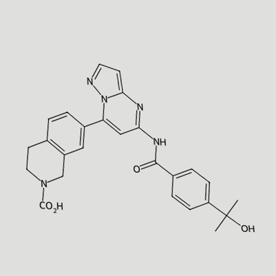 CC(C)(O)c1ccc(C(=O)Nc2cc(-c3ccc4c(c3)CN(C(=O)O)CC4)n3nccc3n2)cc1